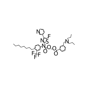 CCCCCCCCc1ccc(N(C(=O)OCOC(=O)c2cccc(CN(CCC)CCC)c2)c2nc(-c3cccnc3)c(F)s2)cc1C(F)(F)F